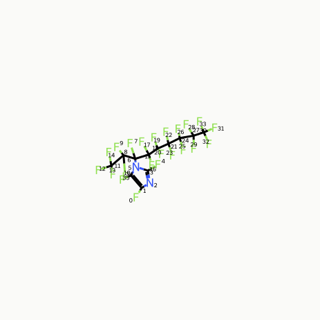 Fc1nc(F)n(C(F)(C(F)(F)C(F)(F)F)C(F)(F)C(F)(F)C(F)(F)C(F)(F)C(F)(F)C(F)(F)F)c1F